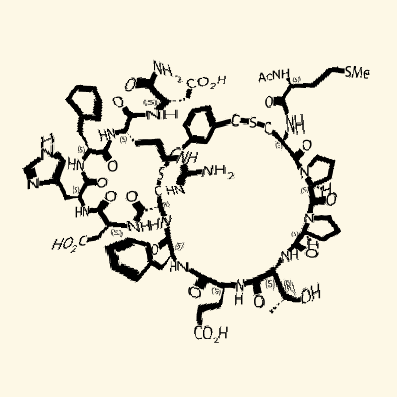 CSCC[C@H](NC(C)=O)C(=O)N[C@@H]1CSCc2cccc(c2)CSC[C@@H](C(=O)N[C@@H](CC(=O)O)C(=O)N[C@@H](Cc2c[nH]cn2)C(=O)N[C@@H](Cc2ccccc2)C(=O)N[C@@H](CCCNC(=N)N)C(=O)N[C@@H](CC(=O)O)C(N)=O)NC(=O)[C@H](Cc2ccccc2)NC(=O)[C@H](CCC(=O)O)NC(=O)[C@H]([C@@H](C)O)NC(=O)[C@@H]2CCCN2C(=O)[C@@H]2CCCN2C1=O